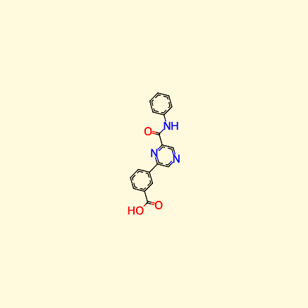 O=C(O)c1cccc(-c2cncc(C(=O)Nc3ccccc3)n2)c1